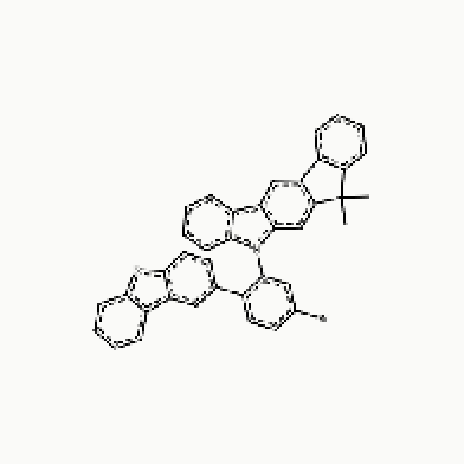 CC1(C)c2ccccc2-c2cc3c4ccccc4n(-c4cc(Br)ccc4-c4ccc5sc6ccccc6c5c4)c3cc21